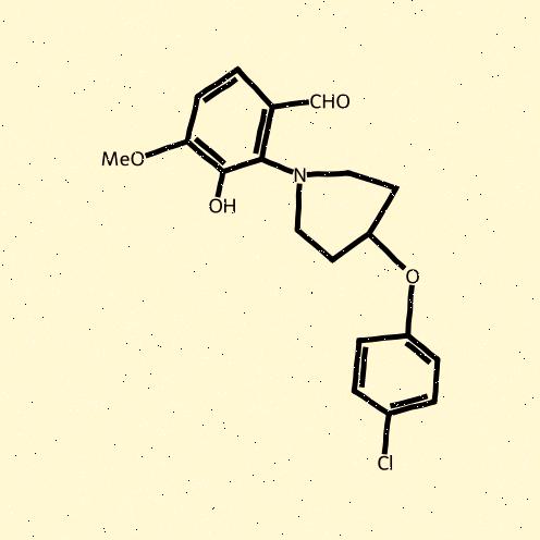 COc1ccc(C=O)c(N2CCC(Oc3ccc(Cl)cc3)CC2)c1O